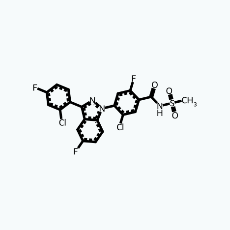 CS(=O)(=O)NC(=O)c1cc(Cl)c(-n2nc(-c3ccc(F)cc3Cl)c3cc(F)ccc32)cc1F